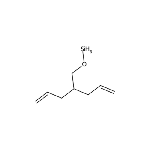 C=CCC(CC=C)CO[SiH3]